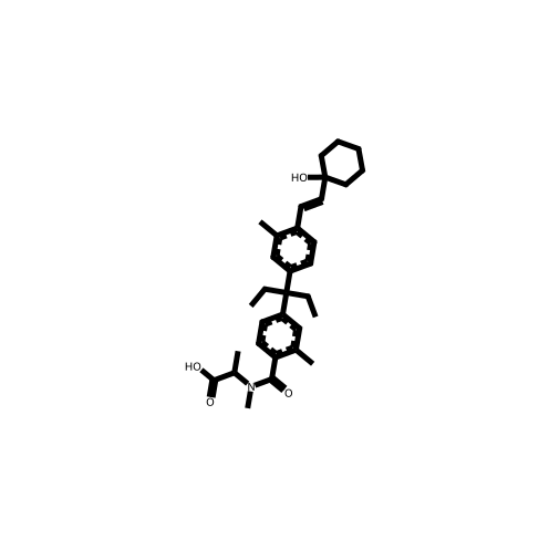 CCC(CC)(c1ccc(/C=C/C2(O)CCCCC2)c(C)c1)c1ccc(C(=O)N(C)C(C)C(=O)O)c(C)c1